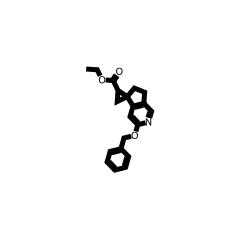 CCOC(=O)C1CC12CCc1cnc(OCc3ccccc3)cc12